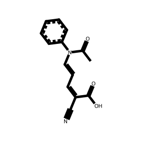 CC(=O)N(C=CC=C(C#N)C(=O)O)c1ccccc1